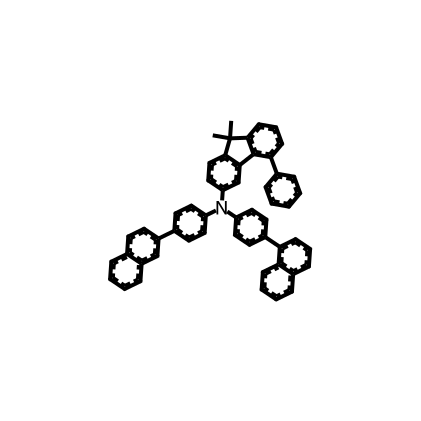 CC1(C)c2ccc(N(c3ccc(-c4ccc5ccccc5c4)cc3)c3ccc(-c4cccc5ccccc45)cc3)cc2-c2c(-c3ccccc3)cccc21